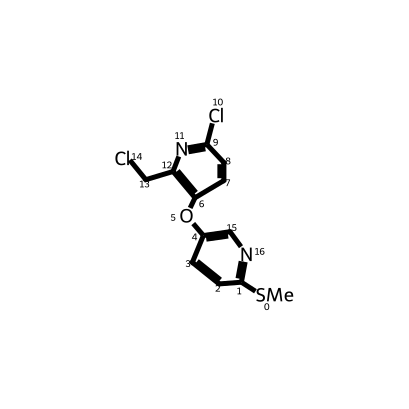 CSc1ccc(Oc2ccc(Cl)nc2CCl)cn1